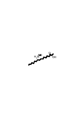 CCCCCCCCCCCCCCCC(=O)C(C)O.NN=O